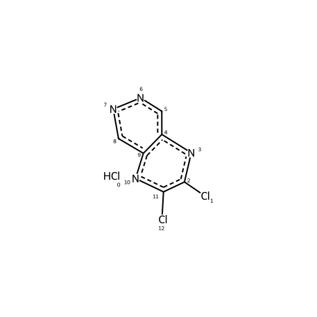 Cl.Clc1nc2cnncc2nc1Cl